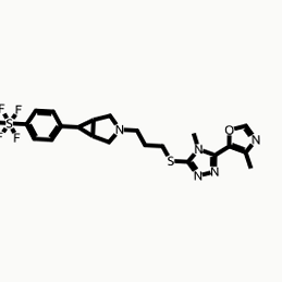 Cc1ncoc1-c1nnc(SCCCN2CC3C(C2)C3c2ccc(S(F)(F)(F)(F)F)cc2)n1C